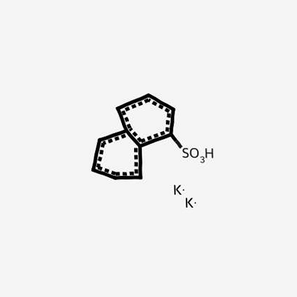 O=S(=O)(O)c1cccc2ccccc12.[K].[K]